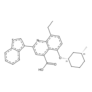 CCc1ccc(O[C@H]2CCC[C@@H](C)C2)c2c(C(=O)O)cc(-c3csc4ccccc34)nc12